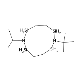 CC(C)N1[SiH2]CC[SiH2]N(C(C)(C)C)[SiH2]CC[SiH2]1